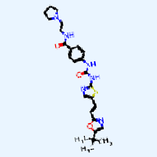 CC(C)(C)c1cnc(C=Cc2cnc(NC(=O)Nc3ccc(C(=O)NCCN4CCCC4)cc3)s2)o1